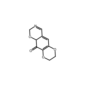 O=C1C2=C(C=C3C=NCOC13)OCCO2